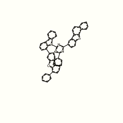 c1ccc(-c2nc(-c3ccc4sc5c6ccccc6ccc5c4c3)nc(-n3c4ccccc4c4cccc(-c5ccc6c(c5)oc5c(-c7ccccc7)cccc56)c43)n2)cc1